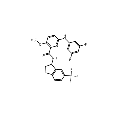 COc1ccc(Nc2cc(F)cc(F)c2)nc1C(=O)NC1CCc2ccc(C(F)(F)F)cc21